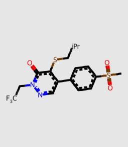 CC(C)CSc1c(-c2ccc(S(C)(=O)=O)cc2)cnn(CC(F)(F)F)c1=O